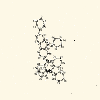 c1ccc(-c2ccc3c4ccc(N(c5ccccc5)c5cccc6c7ccccc7n(-c7ccccc7)c56)cc4n(-c4ccccc4)c3c2)cc1